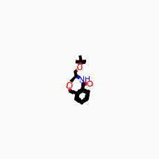 CC(C)(C)OCC1COCc2ccccc2C(=O)N1